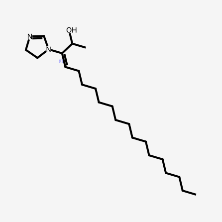 CCCCCCCCCCCCCCC/C=C(\C(C)O)N1C=NCC1